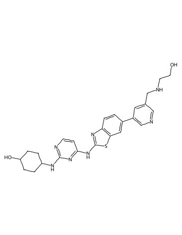 OCCNCc1cncc(-c2ccc3nc(Nc4ccnc(NC5CCC(O)CC5)n4)sc3c2)c1